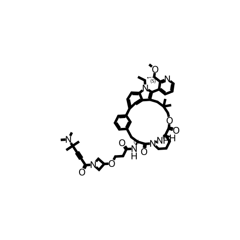 CCn1c(-c2cccnc2[C@H](C)OC)c2c3cc(ccc31)-c1cccc(c1)C[C@H](NC(=O)CCOC1CN(C(=O)C#CC(C)(C)N(C)C)C1)C(=O)N1CCC[C@H](N1)C(=O)OCC(C)(C)C2